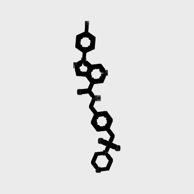 O=C(NCc1ccc(CS(=O)(=O)N2CCOCC2)cc1)c1cncc2c1cnn2-c1ccc(F)cc1